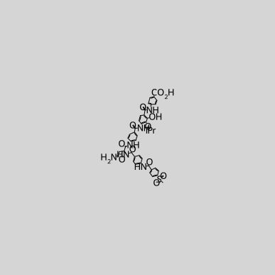 CC(C)Oc1c(NC(=O)c2ccc(NC(=O)C(CC(N)=O)NC(=O)c3ccc(NC(=O)c4ccc(S(C)(=O)=O)cc4)cc3)cc2)ccc(C(=O)Nc2ccc(C(=O)O)cc2)c1O